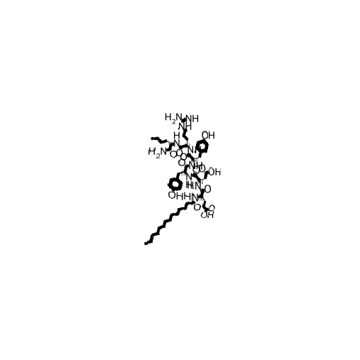 CCCCCCCCCCCCCC(=O)N[C@@H](CCC(=O)O)C(=O)N[C@@H](CC(=O)O)C(=O)N[C@@H](Cc1ccc(O)cc1)C(=O)N[C@@H](Cc1ccc(O)cc1)C(=O)N[C@@H](CCCNC(=N)N)C(=O)N[C@@H](CCCC)C(N)=O